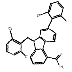 NC(=O)c1cccc2c1c1[c]cc(-c3c(Cl)cccc3Cl)cc1n2Cc1c(Cl)cccc1Cl